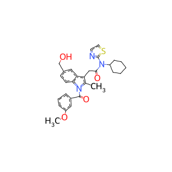 COc1cccc(C(=O)n2c(C)c(CC(=O)N(c3nccs3)C3CCCCC3)c3cc(CO)ccc32)c1